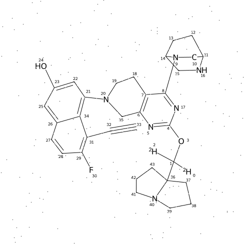 [2H]C([2H])(Oc1nc2c(c(N3CC4CCC3CN4)n1)CCN(c1cc(O)cc3ccc(F)c(C#C)c13)C2)C12CCCN1CCC2